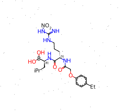 CCc1ccc(OCC(=O)N[C@@H](CCCNC(=N)N[N+](=O)[O-])C(=O)N[C@@H](CC(C)C)B(O)O)cc1